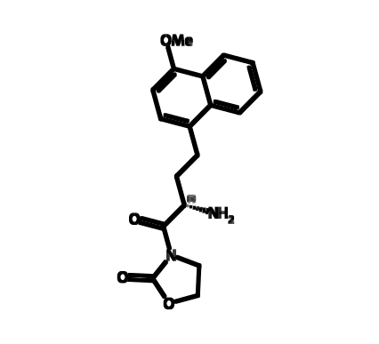 COc1ccc(CC[C@H](N)C(=O)N2CCOC2=O)c2ccccc12